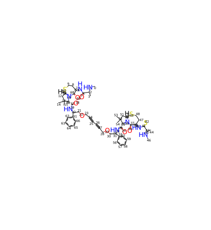 CNC(C)C(=O)N[C@H]1CCS[C@H]2CC(C)(C)[C@@H](C(=O)NC(COCC#CC#CCOC[C@@H](NC(=O)[C@H]3N4C(=O)[C@@H](NC(=S)C(C)NC)CCS[C@H]4CC3(C)C)c3ccccc3)c3ccccc3)N2C1=O